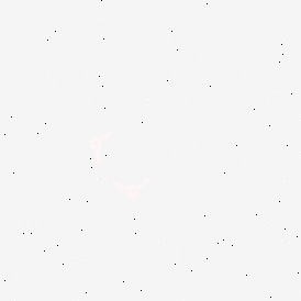 CC1OC(C)(C)OC2=C1CCCC=C2